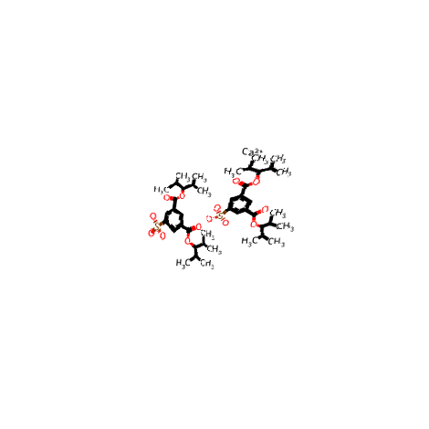 CC(C)C(OC(=O)c1cc(C(=O)OC(C(C)C)C(C)C)cc(S(=O)(=O)[O-])c1)C(C)C.CC(C)C(OC(=O)c1cc(C(=O)OC(C(C)C)C(C)C)cc(S(=O)(=O)[O-])c1)C(C)C.[Ca+2]